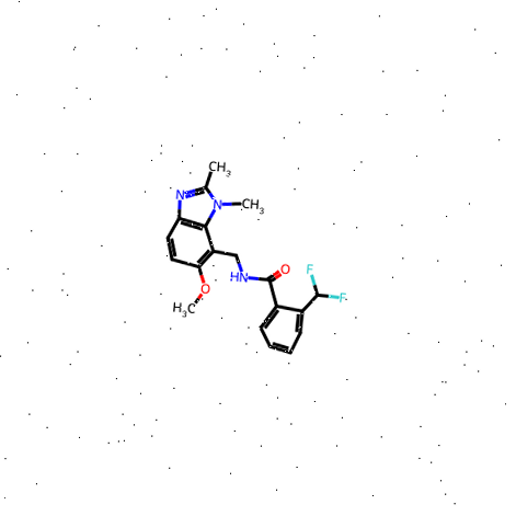 COc1ccc2nc(C)n(C)c2c1CNC(=O)c1ccccc1C(F)F